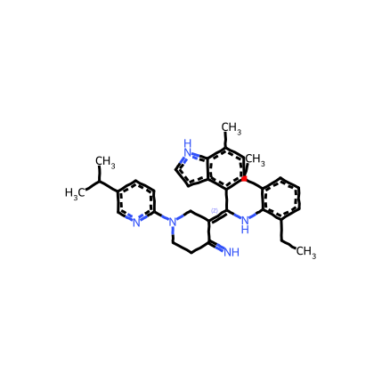 CCc1cccc(CC)c1N/C(=C1/CN(c2ccc(C(C)C)cn2)CCC1=N)c1ccc(C)c2[nH]ccc12